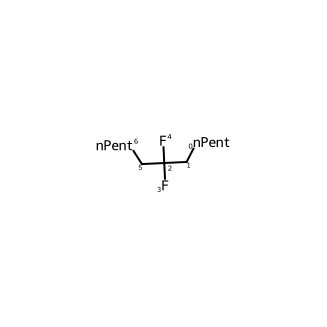 CCCCCCC(F)(F)CCCCCC